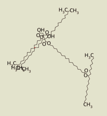 CCCCCCCCCCCC(CCCCCCCC)OC(=O)CCCCCCCCCCCCCCCCCOC(=O)C(CCCCCCCCCCCCCC(C)C)(CCCCCCCCCCCCCC(C)C)C(CC(=O)O)(OCCCCCCCCCCCCCC(C)C)C(=O)O